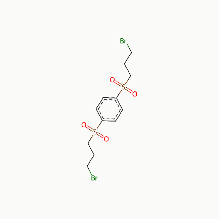 O=S(=O)(CCCBr)c1ccc(S(=O)(=O)CCCBr)cc1